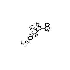 COc1ccc(NC(=O)c2cc(-c3cncc4ccccc34)c[nH]c2=O)cc1.Cl